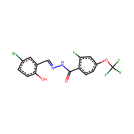 O=C(N/N=C/c1cc(Br)ccc1O)c1ccc(OC(F)(F)F)cc1F